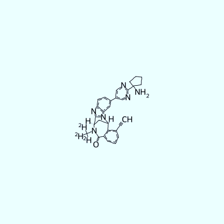 [2H]C([2H])([2H])N1C(=O)c2cccc(C#C)c2[C@H]2C[C@@H]1c1nc3ccc(-c4cnc(C5(N)CCCC5)nc4)cc3n12